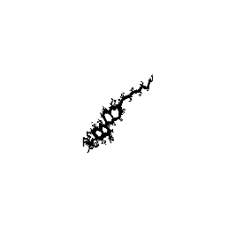 CCCCCCCC1CCC2CC(c3cc(F)c4cc(OC(F)(F)F)ccc4c3)CCC2C1